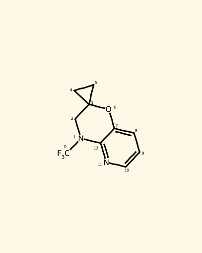 FC(F)(F)N1CC2(CC2)Oc2cccnc21